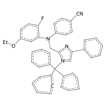 CCOc1ccc(F)c(N(Cc2nc(-c3ccccc3)cn2C(c2ccccc2)(c2ccccc2)c2ccccc2)c2ccc(C#N)cc2)c1